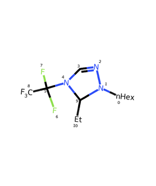 CCCCCCN1N=CN(C(F)(F)C(F)(F)F)C1CC